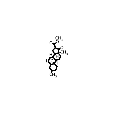 COC(=O)C1C[C@H]2[C@@H]3CCC4CC(C)CC[C@]4(C)[C@@H]3CC[C@]2(C)C1=O